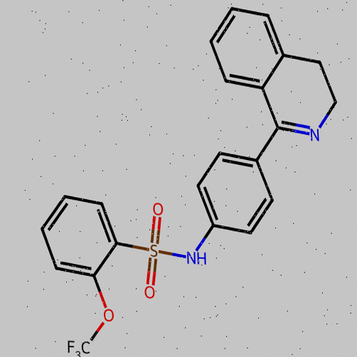 O=S(=O)(Nc1ccc(C2=NCCc3ccccc32)cc1)c1ccccc1OC(F)(F)F